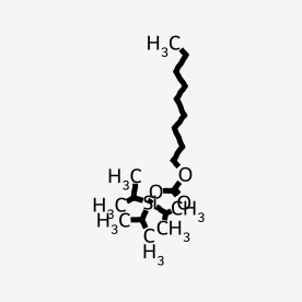 CCCCCCCCCOC(=O)O[Si](C(C)C)(C(C)C)C(C)C